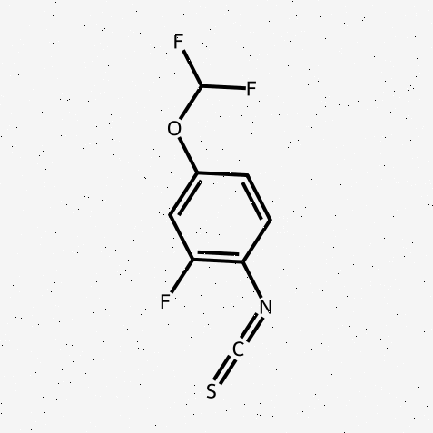 Fc1cc(OC(F)F)ccc1N=C=S